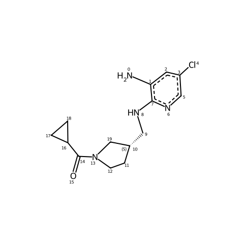 Nc1cc(Cl)cnc1NC[C@@H]1CCN(C(=O)C2CC2)C1